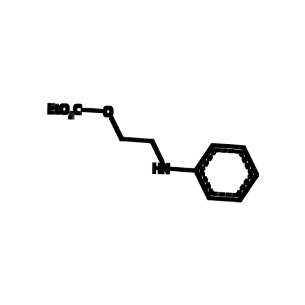 CCOC(=O)OCCNc1ccccc1